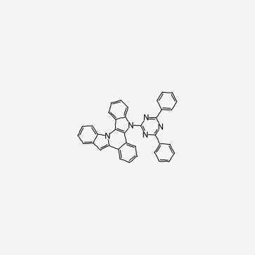 c1ccc(-c2nc(-c3ccccc3)nc(-n3c4ccccc4c4c3c3ccccc3c3cc5ccccc5n34)n2)cc1